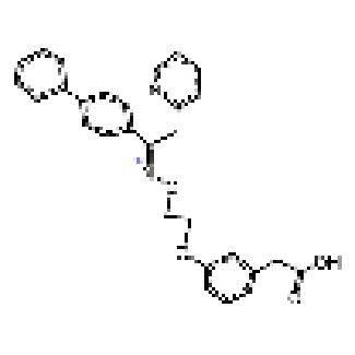 O=C(O)Cc1cccc(OCCO/N=C(\Cc2ccccn2)c2ccc(-c3ccccc3)cc2)c1